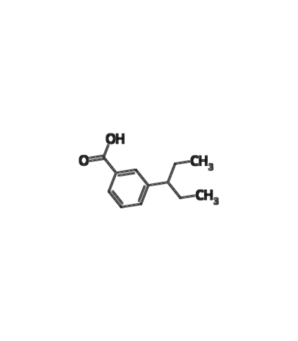 CCC(CC)c1cccc(C(=O)O)c1